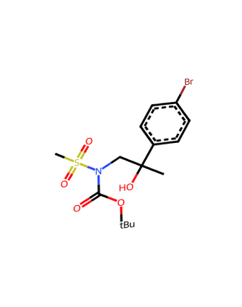 CC(C)(C)OC(=O)N(CC(C)(O)c1ccc(Br)cc1)S(C)(=O)=O